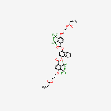 C=CC(=O)OCCCOc1ccc(C(=O)Oc2ccc(OC(=O)c3ccc(OCCCOC(=O)C=C)c(C(F)(F)F)c3C(F)(F)F)c3c2C2CCC3C2)c(C(F)(F)F)c1C(F)(F)F